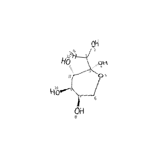 [2H]C(O)[C@@]1(O)OC[C@@H](O)[C@@H](O)[C@@H]1O